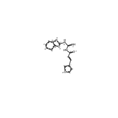 N=C(NC(=O)/C=C/c1ccoc1)Nc1nc2ccccc2o1